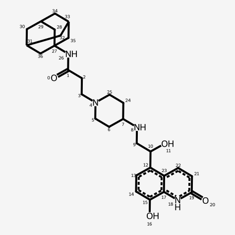 O=C(CCN1CCC(NCC(O)c2ccc(O)c3[nH]c(=O)ccc23)CC1)NC12CC3CC(CC(C3)C1)C2